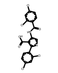 O=C(Nc1csc(-c2ccc(Cl)cc2Cl)c1C(=O)O)c1ccc(Cl)cc1Cl